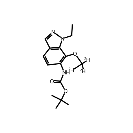 [2H]C([2H])([2H])Oc1c(NC(=O)OC(C)(C)C)ccc2cnn(CC)c12